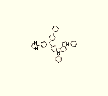 c1ccc(-c2ccc(N(c3ccc(-c4ncccn4)cc3)c3ccc4c(c3)c3c5ccn(-c6ccccc6)c5ccc3n4-c3ccccc3)cc2)cc1